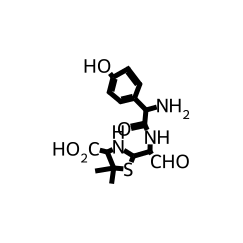 CC1(C)SC(C(C=O)NC(=O)C(N)c2ccc(O)cc2)NC1C(=O)O